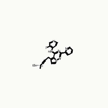 C[C@@H](C#CCc1ccn2nc(-c3ccccn3)nc(Nc3ccncc3F)c12)C(C)(C)C